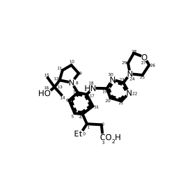 CCC(CC(=O)O)c1ccc(N2CCCC2C(C)(C)O)c(Nc2ccnc(N3CCOCC3)n2)c1